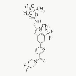 Cn1c(CNC(=O)OC(C)(C)C)cc2cc(-c3ccc(C(=O)N4CCC(F)(F)CC4)cn3)cc(C(F)(F)F)c21